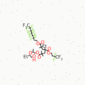 CCC(CO)OC(C)COC(=O)C(C)(C)CC(C)(CC(C)(CC)C(=O)OCCC(F)(F)C(F)(F)C(F)(F)C(F)(F)C(F)(F)C(F)(F)F)C(=O)OCCC(F)(F)C(F)(F)F